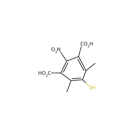 Cc1c(S)c(C)c(C(=O)O)c([N+](=O)[O-])c1C(=O)O